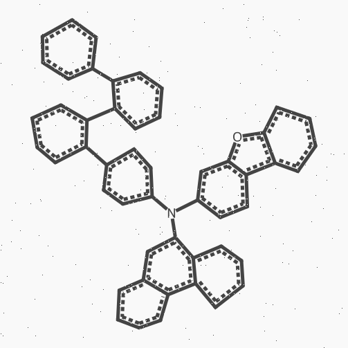 c1ccc(-c2ccccc2-c2ccccc2-c2ccc(N(c3ccc4c(c3)oc3ccccc34)c3cc4ccccc4c4ccccc34)cc2)cc1